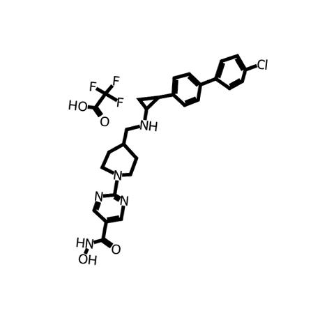 O=C(NO)c1cnc(N2CCC(CNC3CC3c3ccc(-c4ccc(Cl)cc4)cc3)CC2)nc1.O=C(O)C(F)(F)F